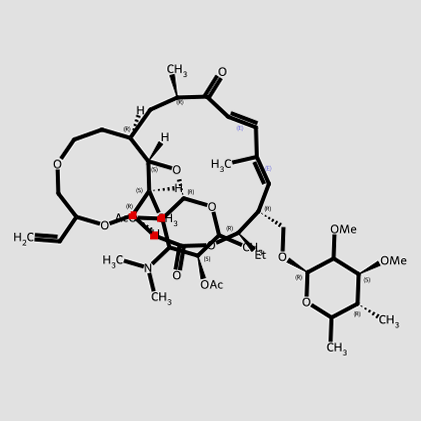 C=CC1COCC[C@H]2C[C@@H](C)C(=O)/C=C/C(C)=C/[C@H](CO[C@@H]3OC(C)[C@@H](C)[C@H](OC)C3OC)[C@@H](CC)OC(=O)C[C@@H](O1)[C@H](C)[C@H]2O[C@@H]1OC(C)[C@@H](OC(C)=O)C(N(C)C)C1OC(C)=O